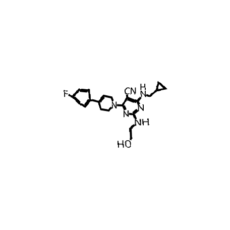 N#Cc1c(NCC2CC2)nc(NCCO)nc1N1CC=C(c2ccc(F)cc2)CC1